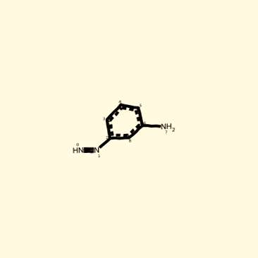 N=Nc1cccc(N)c1